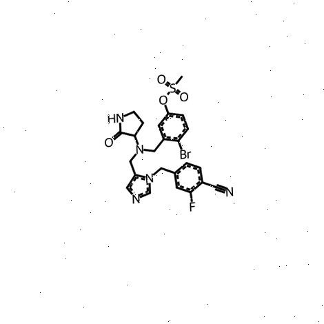 CS(=O)(=O)Oc1ccc(Br)c(CN(Cc2cncn2Cc2ccc(C#N)c(F)c2)C2CCNC2=O)c1